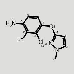 Cn1ccc(Oc2ccc(N)c(F)c2Cl)n1